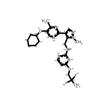 Cc1nc(-c2cnn(C)c2CNc2nccc(OCC(C)(F)F)n2)ncc1OC1CCCCC1